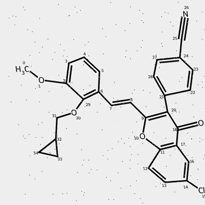 COc1cccc(C=Cc2oc3ccc(Cl)cc3c(=O)c2-c2ccc(C#N)cc2)c1OCC1CC1